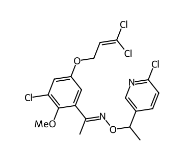 COc1c(Cl)cc(OCC=C(Cl)Cl)cc1/C(C)=N/OC(C)c1ccc(Cl)nc1